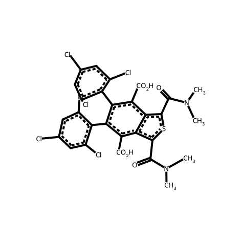 CN(C)C(=O)c1sc(C(=O)N(C)C)c2c(C(=O)O)c(-c3c(Cl)cc(Cl)cc3Cl)c(-c3c(Cl)cc(Cl)cc3Cl)c(C(=O)O)c12